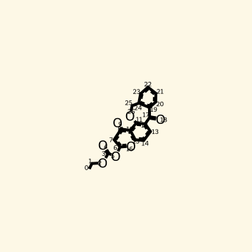 CCOC(=O)Oc1cc(=O)c2c3c(ccc2o1)C(=O)c1ccccc1CO3